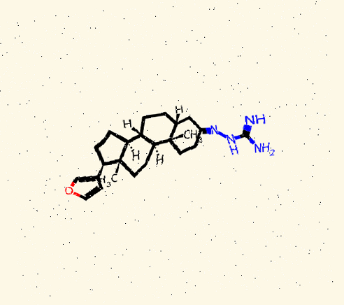 C[C@]12CCC(=NNC(=N)N)C[C@H]1CC[C@@H]1[C@@H]2CC[C@]2(C)[C@@H](c3ccoc3)CC[C@@H]12